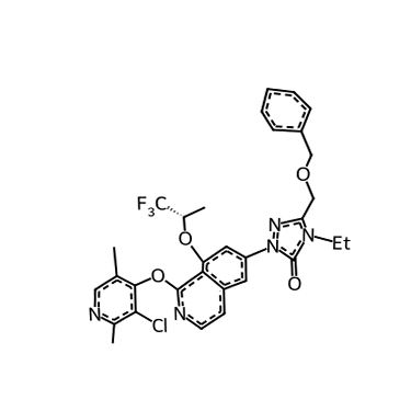 CCn1c(COCc2ccccc2)nn(-c2cc(O[C@@H](C)C(F)(F)F)c3c(Oc4c(C)cnc(C)c4Cl)nccc3c2)c1=O